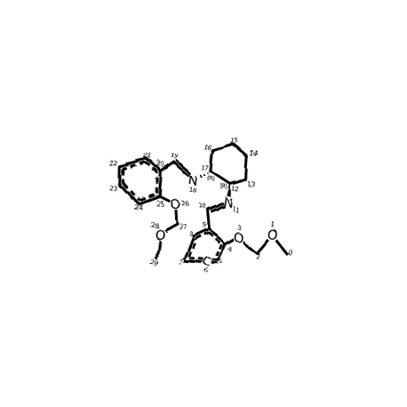 COCOc1ccccc1C=N[C@@H]1CCCC[C@H]1N=Cc1ccccc1OCOC